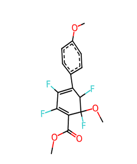 COC(=O)C1=C(F)C(F)=C(c2ccc(OC)cc2)C(F)C1(F)OC